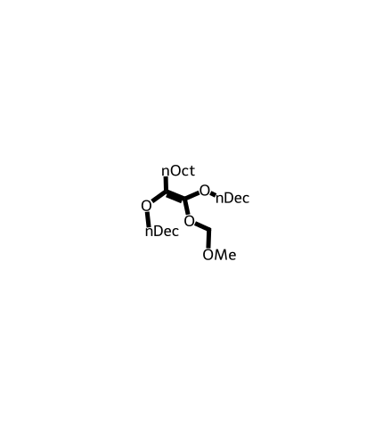 CCCCCCCCCCOC(CCCCCCCC)=C(OCCCCCCCCCC)OCOC